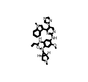 C=CC(=O)Nc1cc(Nc2ncc(-n3cncn3)c(-c3cn(C)c4ccccc34)n2)c(OC)cc1N(C)C1[C@H]2CN(C)C[C@@H]12